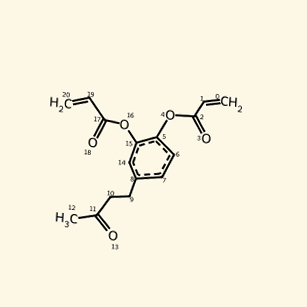 C=CC(=O)Oc1ccc(CCC(C)=O)cc1OC(=O)C=C